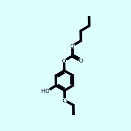 CCCCOC(=O)Oc1ccc(OCC)c(O)c1